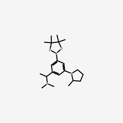 CC(c1cc(B2OC(C)(C)C(C)(C)O2)cc(N2CCCC2C)c1)N(C)C